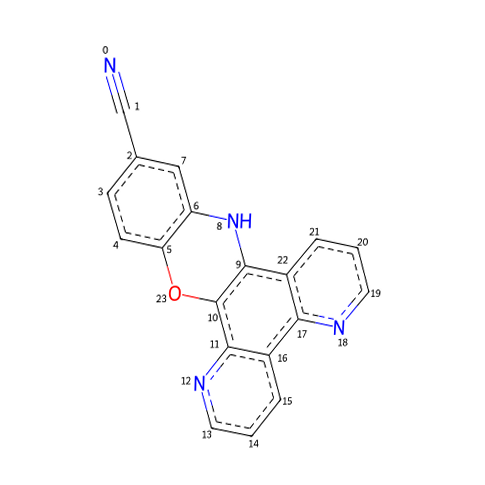 N#Cc1ccc2c(c1)Nc1c(c3ncccc3c3ncccc13)O2